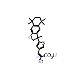 CC/C(=C/c1csc(C2(C)COc3cc4c(cc32)C(C)(C)CCC4(C)C)c1)C(=O)O